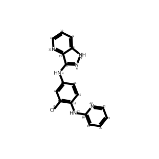 Clc1cc(Nc2n[nH]c3cccnc23)ccc1Nc1ccccn1